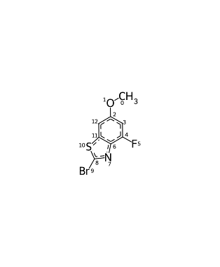 COc1cc(F)c2nc(Br)sc2c1